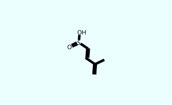 C=C(C)C=CS(=O)O